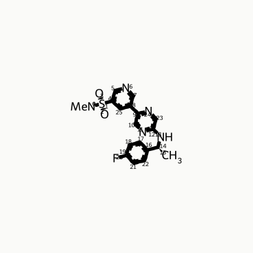 CNS(=O)(=O)c1cncc(-c2cnc(N[C@H](C)c3ccc(F)cc3)cn2)c1